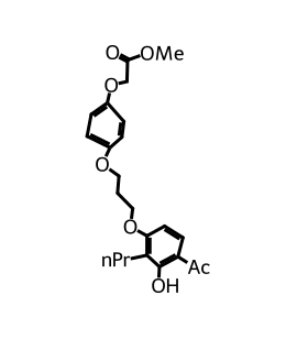 CCCc1c(OCCCOc2ccc(OCC(=O)OC)cc2)ccc(C(C)=O)c1O